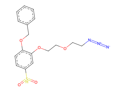 [N-]=[N+]=NCCOCCOc1cc([SH](=O)=O)ccc1OCc1ccccc1